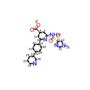 COC(=O)c1cc(NS(=O)(=O)c2cn(C)cn2)nc(-c2ccc(-c3cccnc3)cc2)c1